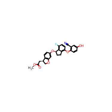 COC(=O)C[C@@H]1COc2cc(O[C@@H]3CCc4c(Oc5ccc(O)cc5C#N)ccc(F)c43)ccc21